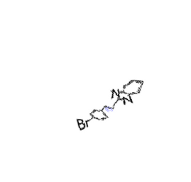 Cn1c(/C=C/c2ccc(Br)cc2)nc2ccccc21